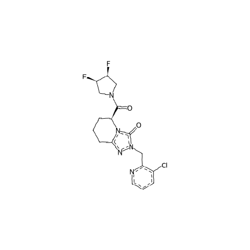 O=C([C@@H]1CCCc2nn(Cc3ncccc3Cl)c(=O)n21)N1C[C@@H](F)[C@@H](F)C1